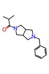 CC(C)C(=O)N1CC2CN(Cc3ccccc3)CC2C1